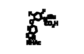 CC(=O)Nc1nc2ccc(Oc3cc(N(C(=O)O)C(C)(C)C)c(F)cc3F)nc2s1